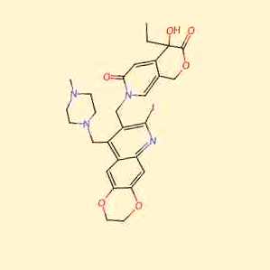 CCC1(O)C(=O)OCc2cn(Cc3c(I)nc4cc5c(cc4c3CN3CCN(C)CC3)OCCO5)c(=O)cc21